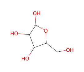 OCC1O[C](O)C(O)C1O